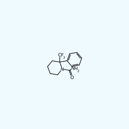 NC(=O)N1CCCCC1(c1ccccc1)C(F)(F)F